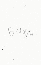 Nc1nc2ccc(CC(C=O)c3cccc4ccccc34)cc2c(=O)[nH]1